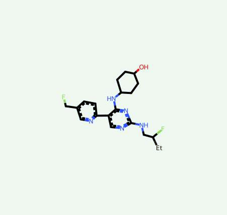 CCC(F)CNc1ncc(-c2ccc(CF)cn2)c(NC2CCC(O)CC2)n1